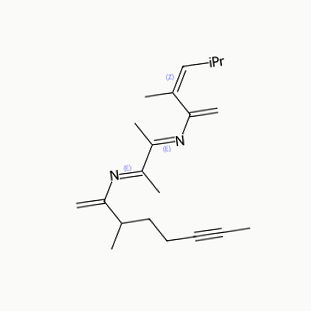 C=C(/N=C(C)/C(C)=N/C(=C)C(C)CCC#CC)/C(C)=C\C(C)C